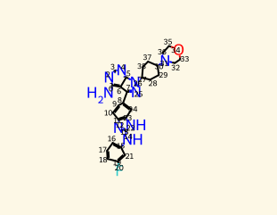 Nc1ncnc2c1c(-c1ccc3nc(Nc4cccc(F)c4)[nH]c3c1)nn2[C@H]1CC[C@H](N2CCOCC2)CC1